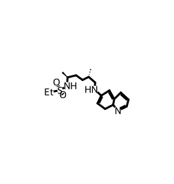 CCS(=O)(=O)N[C@@H](C)CC[C@H](C)CNC1=CCC2N=CC=CC2=C1